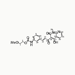 COCCOC(=O)Nc1cccc(/C=C/C(=O)c2c(O)c3cccnc3n(C)c2=O)c1